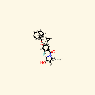 CC1C(O)CN(C(=O)c2cc(C3CC3)c(OCC34CC5CC(CC(C5)C3)C4)cc2F)[C@@H]1C(=O)O